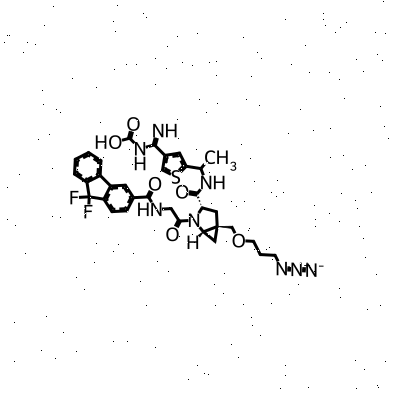 CC(NC(=O)[C@@H]1C[C@]2(COCCCN=[N+]=[N-])C[C@@H]2N1C(=O)CNC(=O)c1ccc2c(c1)-c1ccccc1C2(F)F)c1cc(C(=N)NC(=O)O)cs1